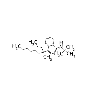 CCCCCCC(C)(CCC)c1ccc(NC(C)(C)C)c2ccccc12